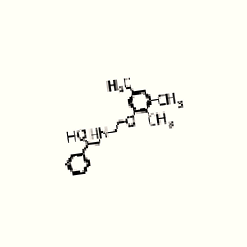 Cc1cc(C)c(C)c(OCCNCC(O)c2ccccc2)c1